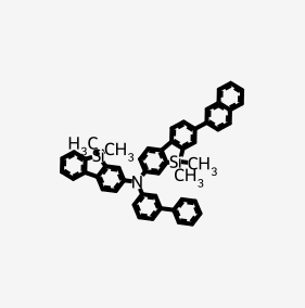 C[Si]1(C)c2ccccc2-c2ccc(N(c3cccc(-c4ccccc4)c3)c3ccc4c(c3)[Si](C)(C)c3cc(-c5ccc6ccccc6c5)ccc3-4)cc21